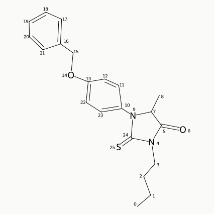 CCCCN1C(=O)C(C)N(c2ccc(OCc3ccccc3)cc2)C1=S